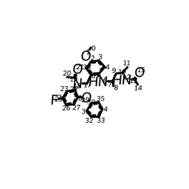 COc1ccc(NC(C)CC(C)NC(C)=O)c(CN(C(C)=O)c2cc(F)ccc2Oc2ccccc2)c1